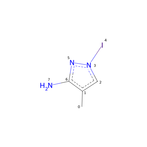 Cc1cn(I)nc1N